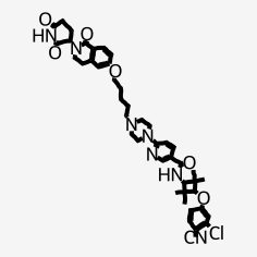 CC1(C)C(NC(=O)c2ccc(N3CCN(CCCCCOc4ccc5c(c4)CCN([C@@H]4CCC(=O)NC4=O)C5=O)CC3)nc2)C(C)(C)C1Oc1ccc(C#N)c(Cl)c1